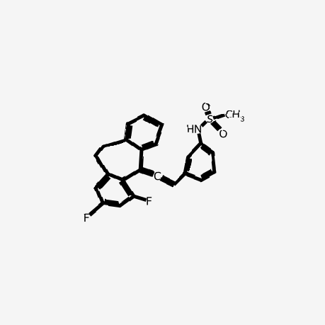 CS(=O)(=O)Nc1cccc(C=C=C2c3ccccc3CCc3cc(F)cc(F)c32)c1